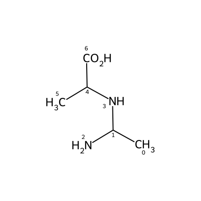 CC(N)NC(C)C(=O)O